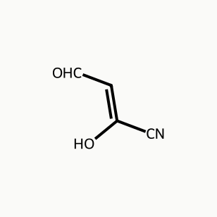 N#CC(O)=CC=O